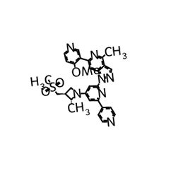 COc1ccncc1-c1cc2c(cnn2-c2cc(N3C[C@H](CS(C)(=O)=O)[C@H]3C)cc(-c3ccncc3)n2)c(C)n1